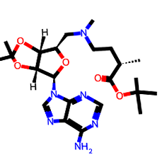 C[C@@H](CCN(C)C[C@H]1O[C@@H](n2cnc3c(N)ncnc32)[C@@H]2OC(C)(C)O[C@@H]21)C(=O)OC(C)(C)C